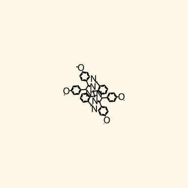 COc1ccc(C2=NC(c3ccccc3C#N)(C3(c4ccccc4C#N)N=C(c4ccc(OC)cc4)C(c4ccc(OC)cc4)=N3)N=C2c2ccc(OC)cc2)cc1